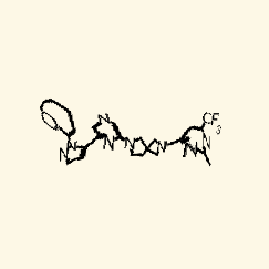 Cc1nc(N2CC3(CCN(c4cncc(-c5ccnn5C5CCCCO5)n4)C3)C2)cc(C(F)(F)F)n1